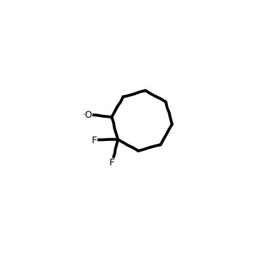 [O]C1CCCCCCC1(F)F